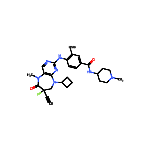 C#C[C@@]1(F)CN(C2CCC2)c2nc(Nc3ccc(C(=O)NC4CCN(C)CC4)cc3OC)ncc2N(C)C1=O